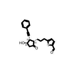 O=Cc1ccc(CCC[C@@H]2C(=O)C[C@@H](O)[C@@H]2C#Cc2ccccc2)s1